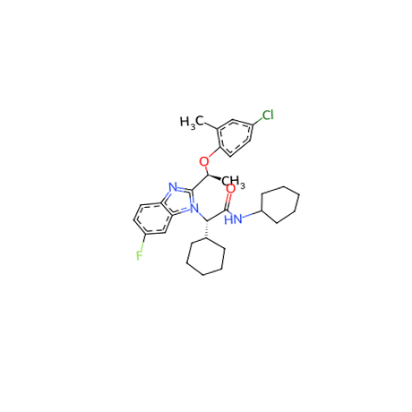 Cc1cc(Cl)ccc1O[C@@H](C)c1nc2ccc(F)cc2n1[C@H](C(=O)NC1CCCCC1)C1CCCCC1